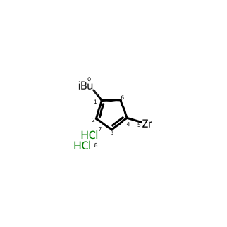 CCC(C)C1=CC=[C]([Zr])C1.Cl.Cl